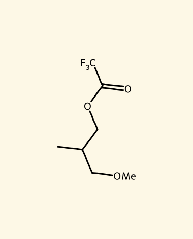 COCC(C)COC(=O)C(F)(F)F